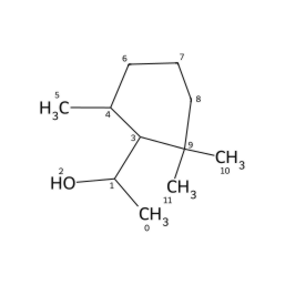 CC(O)C1C(C)CCCC1(C)C